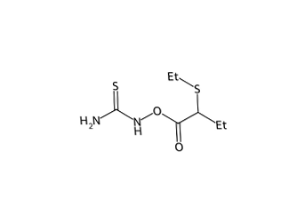 CCSC(CC)C(=O)ONC(N)=S